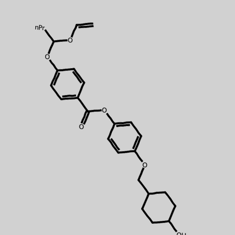 C=COC(CCC)Oc1ccc(C(=O)Oc2ccc(OCC3CCC(O)CC3)cc2)cc1